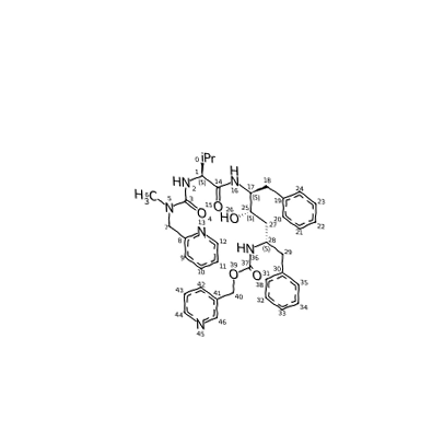 CC(C)[C@H](NC(=O)N(C)Cc1ccccn1)C(=O)N[C@@H](Cc1ccccc1)[C@@H](O)C[C@H](Cc1ccccc1)NC(=O)OCc1cccnc1